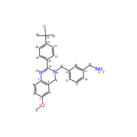 COc1ccc2c(c1)CN(Cc1cccc(CN)c1)C(c1ccc(C(C)(C)C)cc1)=N2